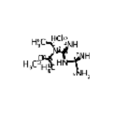 CCN(C(=N)NC(=N)N)C(C)OC.Cl